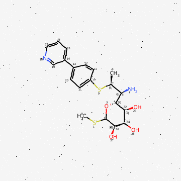 CSC1O[C@H]([C@H](N)[C@H](C)Sc2ccc(-c3cccnc3)cc2)[C@@H](O)C(O)[C@H]1O